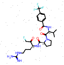 CC(C)[C@H](NC(=O)c1ccc(C(F)(F)F)cc1)C(=O)N1CCC[C@H]1C(=O)N[C@@H](CCCNC(=N)N)C(=O)CF